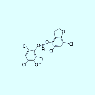 Clc1cc(Cl)c2c(c1OBOc1c(Cl)cc(Cl)c3c1CCO3)CCO2